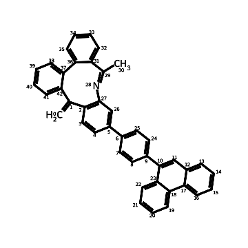 C=C1c2ccc(-c3ccc(-c4cc5ccccc5c5ccccc45)cc3)cc2/N=C(\C)c2ccccc2-c2ccccc21